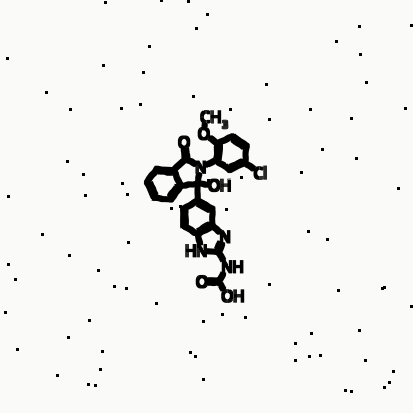 COc1ccc(Cl)cc1N1C(=O)c2ccccc2C1(O)c1ccc2[nH]c(NC(=O)O)nc2c1